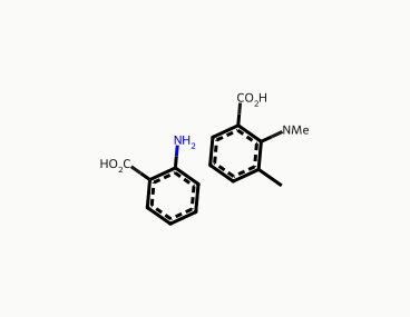 CNc1c(C)cccc1C(=O)O.Nc1ccccc1C(=O)O